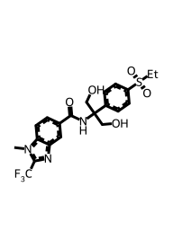 CCS(=O)(=O)c1ccc(C(CO)(CO)NC(=O)c2ccc3c(c2)nc(C(F)(F)F)n3C)cc1